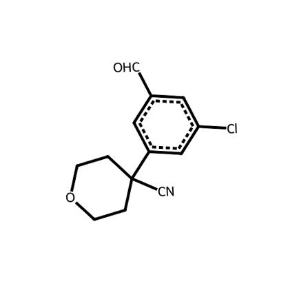 N#CC1(c2cc(Cl)cc(C=O)c2)CCOCC1